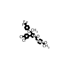 CC(=O)N1CCN(CC(=O)N2CC(c3ccc(Cl)c(Cl)c3)C(C(C)Oc3ccc(C(F)(F)F)cc3)C2)CC1